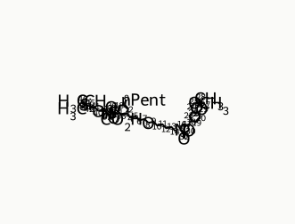 CCCCCc1cc(CCCCOCCCCCCN2C[C@@H](c3ccc4c(c3)COC(C)(C)O4)OC2=O)cc(S(=O)(=O)N(COCC[Si](C)(C)C)C(=O)O)c1